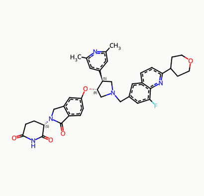 Cc1cc([C@H]2CN(Cc3cc(F)c4nc(C5CCOCC5)ccc4c3)C[C@@H]2Oc2ccc3c(c2)CN([C@H]2CCC(=O)NC2=O)C3=O)cc(C)n1